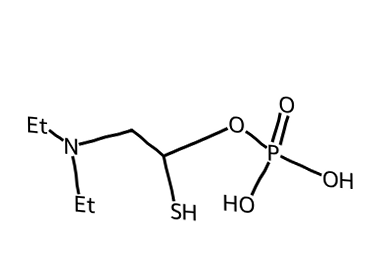 CCN(CC)CC(S)OP(=O)(O)O